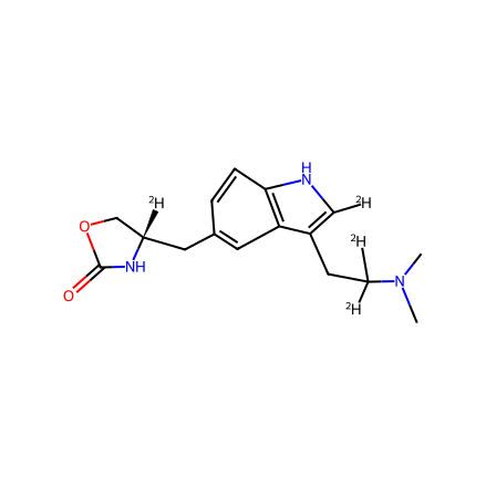 [2H]c1[nH]c2ccc(C[C@@]3([2H])COC(=O)N3)cc2c1CC([2H])([2H])N(C)C